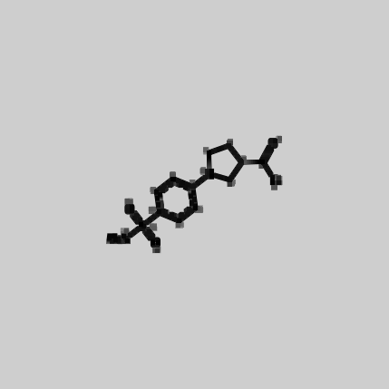 CCC(=O)C1CCN(c2ccc(S(=O)(=O)NC)cc2)C1